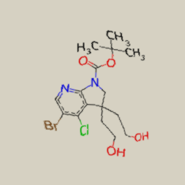 CC(C)(C)OC(=O)N1CC(CCO)(CCO)c2c1ncc(Br)c2Cl